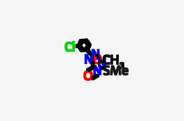 CN=C(SC)N1CCOCC1c1nc(-c2cccc(Cl)c2)no1